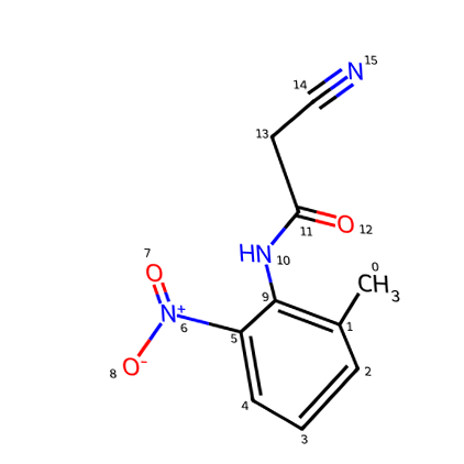 Cc1cccc([N+](=O)[O-])c1NC(=O)CC#N